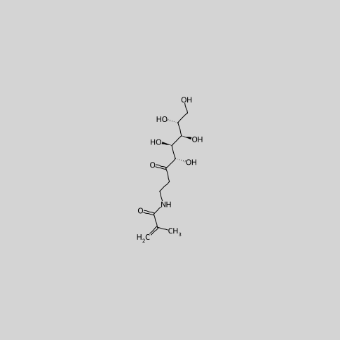 C=C(C)C(=O)NCCC(=O)[C@@H](O)[C@@H](O)[C@H](O)[C@H](O)CO